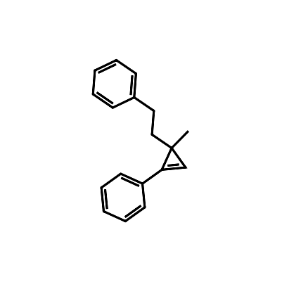 CC1(CCc2ccccc2)C=C1c1ccccc1